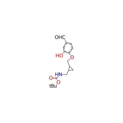 CC(C)(C)OC(=O)NCC1CC1COc1ccc(C=O)cc1O